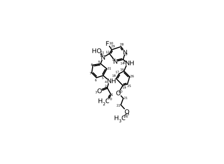 C=CC(=O)Nc1cccc(N(O)c2nc(Nc3ccc(OCCOC)cc3)ncc2F)c1